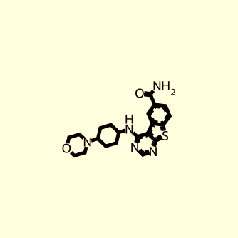 NC(=O)c1ccc2sc3ncnc(NC4CCC(N5CCOCC5)CC4)c3c2c1